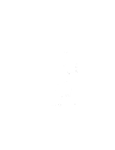 COc1ccc(-n2cc(Br)cn2)cc1F